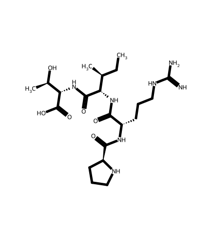 CC[C@H](C)[C@H](NC(=O)[C@H](CCCNC(=N)N)NC(=O)[C@@H]1CCCN1)C(=O)N[C@H](C(=O)O)[C@@H](C)O